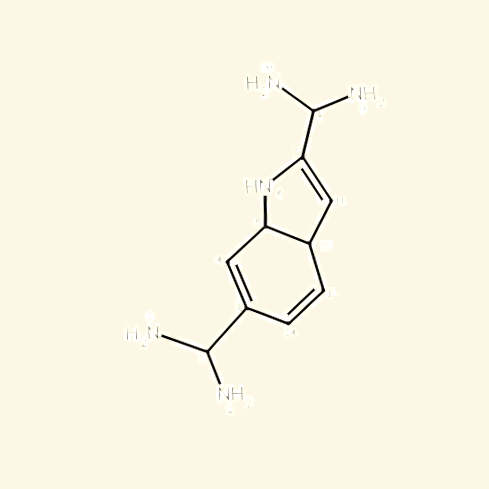 NC(N)C1=CC2NC(C(N)N)=CC2C=C1